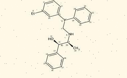 CCc1cccc(P(CN[C@@H](C)[C@H](O)c2ccccc2)c2ccccc2)c1